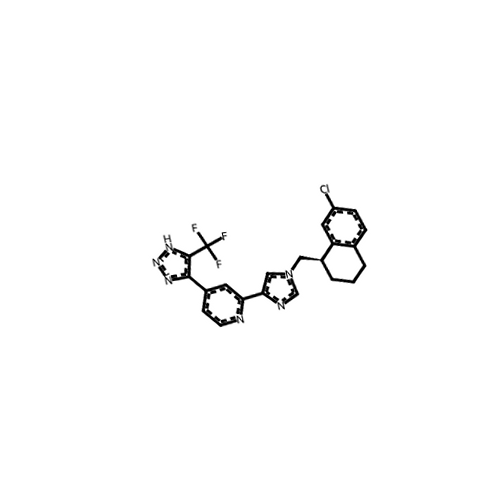 FC(F)(F)c1[nH]nnc1-c1ccnc(-c2cn(C[C@@H]3CCCc4ccc(Cl)cc43)cn2)c1